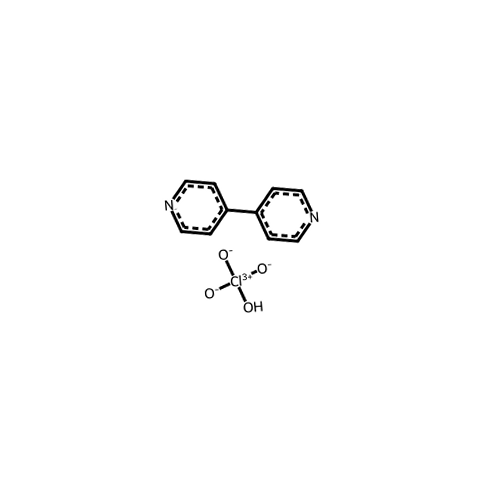 [O-][Cl+3]([O-])([O-])O.c1cc(-c2ccncc2)ccn1